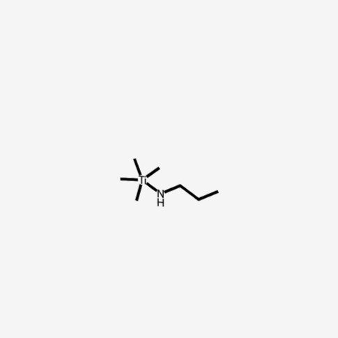 CCC[NH][Ti]([CH3])([CH3])([CH3])[CH3]